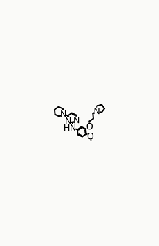 COc1ccc(Nc2nccc(N3CCCCC3)n2)cc1OCCCN1CCCC1